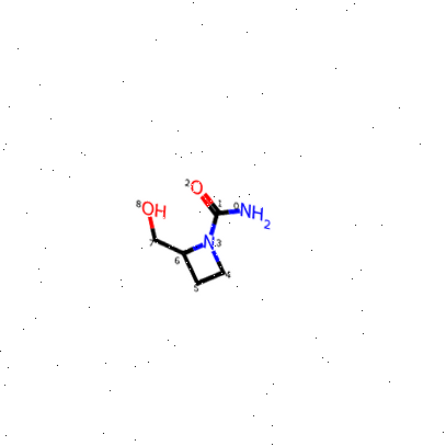 NC(=O)N1CCC1CO